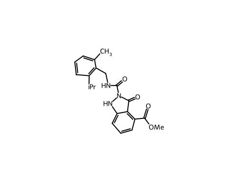 COC(=O)c1cccc2[nH]n(C(=O)NCc3c(C)cccc3C(C)C)c(=O)c12